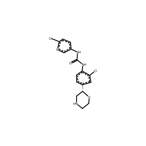 O=C(Nc1ccc(Cl)nc1)Nc1ccc([C@H]2CNCCO2)cc1Cl